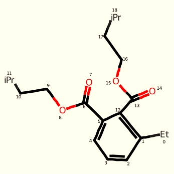 CCc1cccc(C(=O)OCCC(C)C)c1C(=O)OCCC(C)C